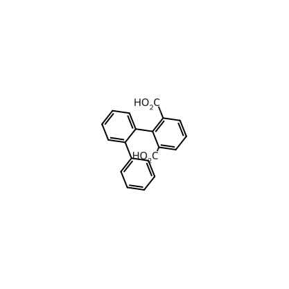 O=C(O)c1cccc(C(=O)O)c1-c1ccccc1-c1ccccc1